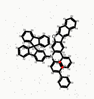 c1ccc(-c2ccc(N(c3ccc4c(c3)C3(c5ccccc5-c5ccccc53)c3ccccc3-4)c3cc4oc5cc6ccccc6cc5c4cc3-c3ccccc3)cc2)cc1